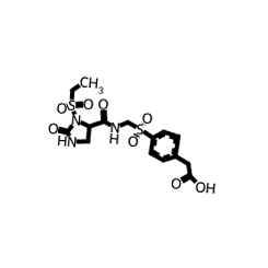 CCS(=O)(=O)N1C(=O)NCC1C(=O)NCS(=O)(=O)c1ccc(CC(=O)O)cc1